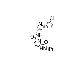 CC(C)NC(=O)c1cccc(C(=O)NCc2cnn(-c3cccc(Cl)c3)c2)n1